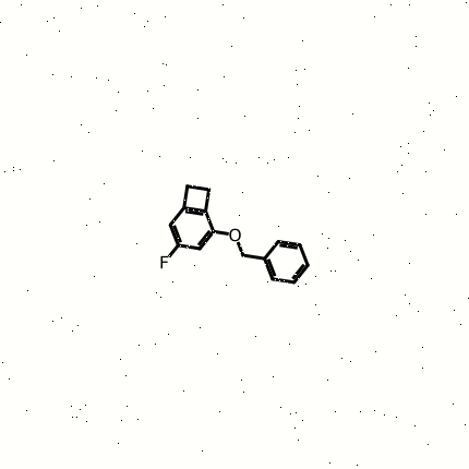 Fc1cc2c(c(OCc3ccccc3)c1)CC2